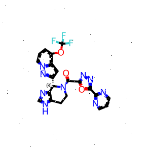 O=C(c1nnc(-c2ncccn2)o1)N1CCc2[nH]cnc2[C@@H]1c1cc2c(OC(F)(F)F)cccn2n1